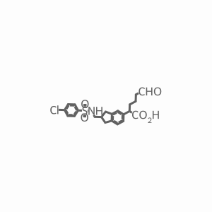 O=CCCCC(C(=O)O)c1ccc2c(c1)CC(CNS(=O)(=O)c1ccc(Cl)cc1)C2